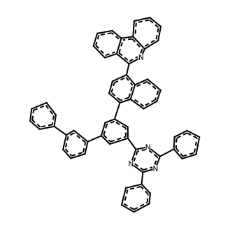 c1ccc(-c2cccc(-c3cc(-c4nc(-c5ccccc5)nc(-c5ccccc5)n4)cc(-c4ccc(-c5nc6ccccc6c6ccccc56)c5ccccc45)c3)c2)cc1